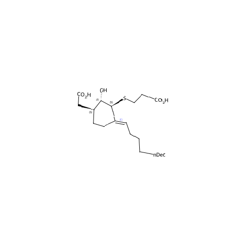 CCCCCCCCCCCCC/C=C1\CC[C@@H](CC(=O)O)[C@H](O)[C@H]1SCCC(=O)O